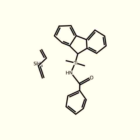 C=CC=C.[CH3][Ti]([CH3])([NH]C(=O)c1ccccc1)[CH]1c2ccccc2-c2ccccc21.[SiH4]